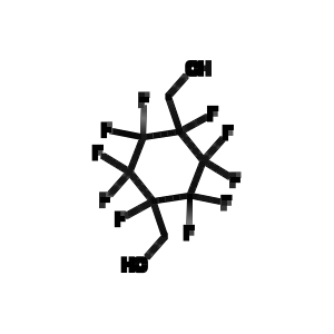 OCC1(F)C(F)(F)C(F)(F)C(F)(CO)C(F)(F)C1(F)F